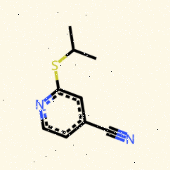 CC(C)Sc1cc(C#N)ccn1